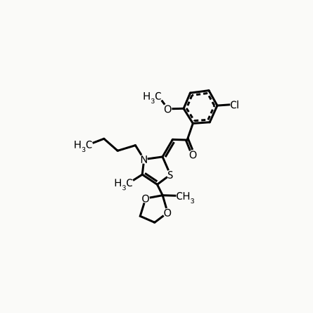 CCCCN1C(C)=C(C2(C)OCCO2)S/C1=C\C(=O)c1cc(Cl)ccc1OC